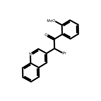 COc1ccccc1C(=O)C(c1cnc2ccccc2c1)C(C)C